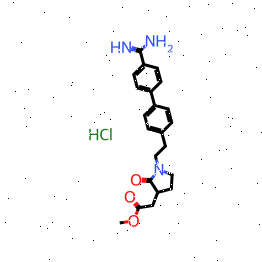 COC(=O)CC1CCN(CCc2ccc(-c3ccc(C(=N)N)cc3)cc2)C1=O.Cl